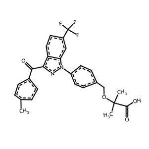 Cc1ccc(C(=O)c2nn(-c3ccc(COC(C)(C)C(=O)O)cc3)c3cc(C(F)(F)F)ccc23)cc1